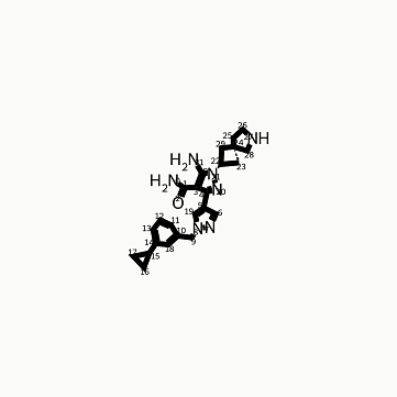 NC(=O)c1c(-c2cnn(Cc3cccc(C4CC4)c3)c2)nn([C@H]2C[C@@]3(CCNC3)C2)c1N